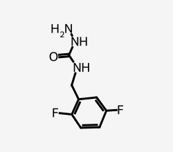 NNC(=O)NCc1cc(F)ccc1F